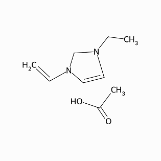 C=CN1C=CN(CC)C1.CC(=O)O